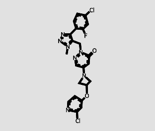 Cn1nnc(-c2ccc(Cl)cc2F)c1Cn1ncc(N2CC(Oc3ccnc(Cl)c3)C2)cc1=O